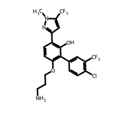 Cn1nc(-c2ccc(OCCCN)c(-c3ccc(Cl)c(C(F)(F)F)c3)c2O)cc1C(F)(F)F